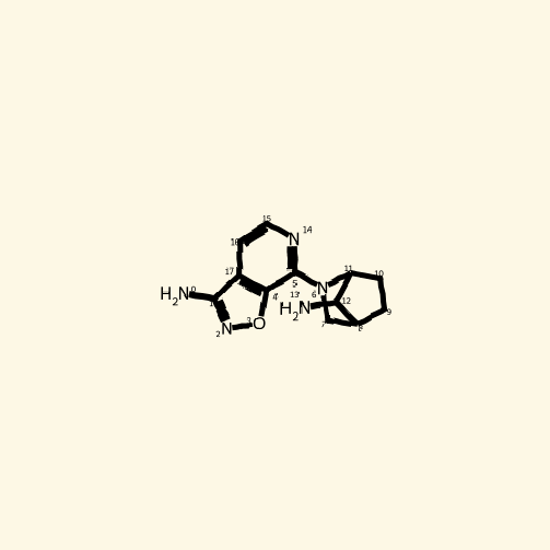 Nc1noc2c(N3CC4CCC3C4N)nccc12